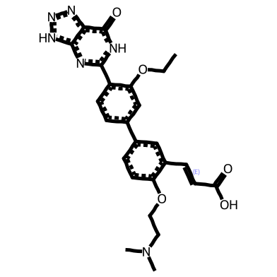 CCOc1cc(-c2ccc(OCCN(C)C)c(/C=C/C(=O)O)c2)ccc1-c1nc2[nH]nnc2c(=O)[nH]1